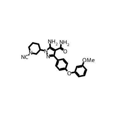 COc1cccc(Oc2ccc(-c3nn(C4CCCN(C#N)C4)c(N)c3C(N)=O)cc2)c1